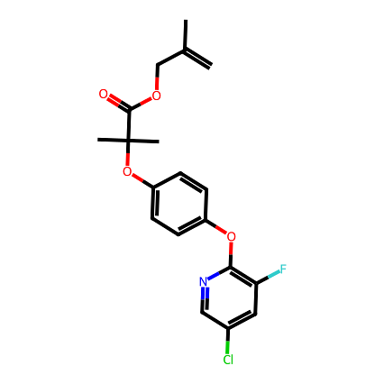 C=C(C)COC(=O)C(C)(C)Oc1ccc(Oc2ncc(Cl)cc2F)cc1